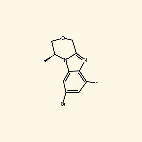 C[C@H]1COCc2nc3c(F)cc(Br)cc3n21